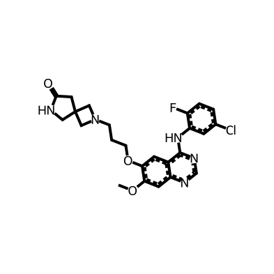 COc1cc2ncnc(Nc3cc(Cl)ccc3F)c2cc1OCCCN1CC2(CNC(=O)C2)C1